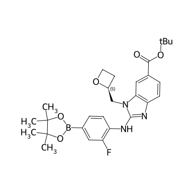 CC(C)(C)OC(=O)c1ccc2nc(Nc3ccc(B4OC(C)(C)C(C)(C)O4)cc3F)n(C[C@@H]3CCO3)c2c1